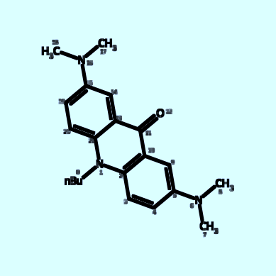 CCCCn1c2ccc(N(C)C)cc2c(=O)c2cc(N(C)C)ccc21